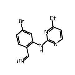 CCc1ccnc(Nc2cc(Br)ccc2C=N)n1